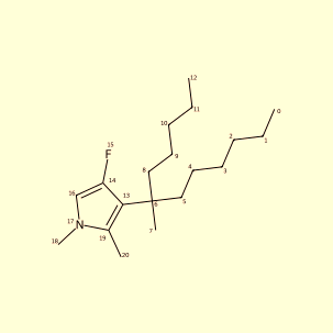 CCCCCCC(C)(CCCCC)c1c(F)cn(C)c1C